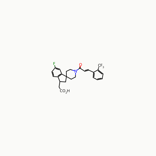 O=C(O)CC1CC2(CCN(C(=O)/C=C/c3ccccc3C(F)(F)F)CC2)c2cc(F)ccc21